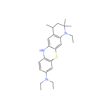 CCN(CC)c1ccc2c(c1)Sc1cc3c(cc1N2)C(C)CC(C)(C)N3CC